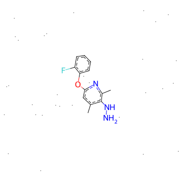 Cc1cc(Oc2ccccc2F)nc(C)c1NN